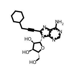 Nc1ncnc2c1nc(C#CCC1CCCCC1)n2[C@@H]1O[C@H](CO)[C@@H](O)[C@H]1O